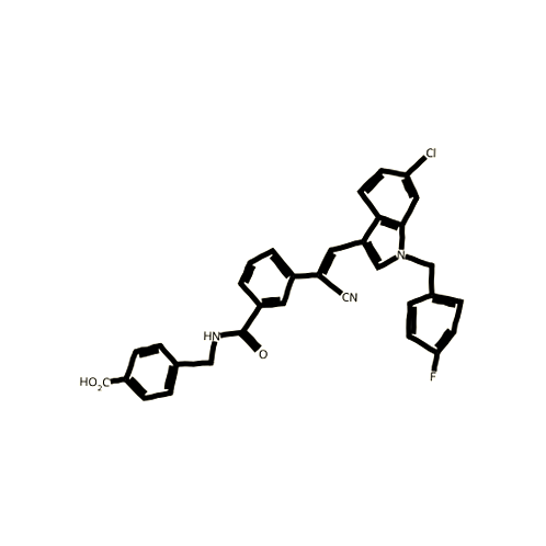 N#C/C(=C\c1cn(Cc2ccc(F)cc2)c2cc(Cl)ccc12)c1cccc(C(=O)NCc2ccc(C(=O)O)cc2)c1